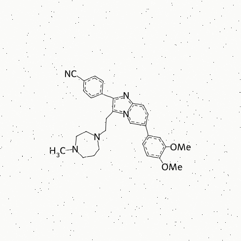 COc1ccc(-c2ccc3nc(-c4ccc(C#N)cc4)c(CCN4CCCN(C)CC4)n3c2)cc1OC